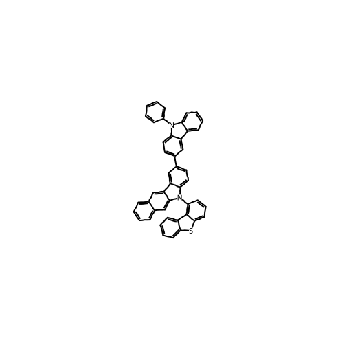 c1ccc(-n2c3ccccc3c3cc(-c4ccc5c(c4)c4cc6ccccc6cc4n5-c4cccc5sc6ccccc6c45)ccc32)cc1